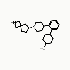 OC1CCC(c2ccccc2C2CCN([C@@H]3CCC4(CNC4)C3)CC2)CC1